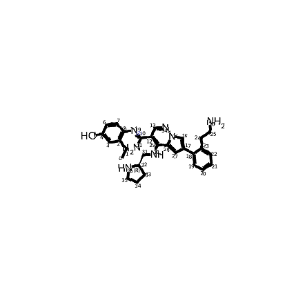 CCc1cc(O)ccc1/N=C(\N)c1cnn2cc(-c3ccccc3CCN)cc2c1NC[C@H]1CCCN1